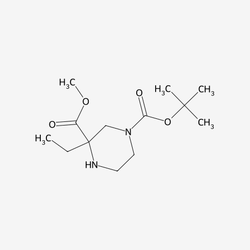 CCC1(C(=O)OC)CN(C(=O)OC(C)(C)C)CCN1